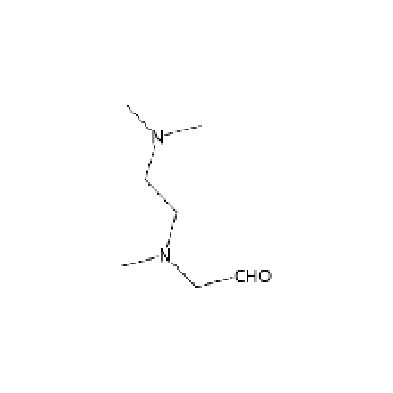 CN(C)CCN(C)CC=O